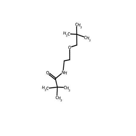 CC(C)(C)COCCNC(=O)C(C)(C)C